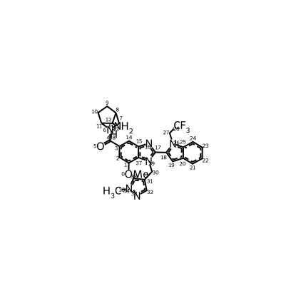 COc1cc(C(=O)N2CC3CCC2[C@@H]3N)cc2nc(-c3cc4ccccc4n3CC(F)(F)F)n(Cc3cnn(C)c3)c12